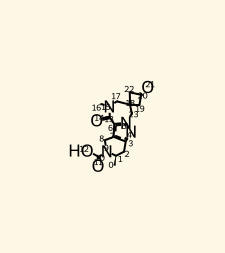 C[C@@H]1Cc2nn3c(c2CN1C(=O)O)C(=O)N(C)CC1(CC(=O)C1)C3